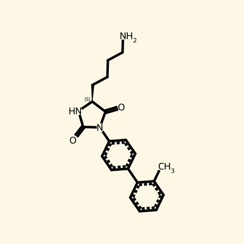 Cc1ccccc1-c1ccc(N2C(=O)N[C@@H](CCCCN)C2=O)cc1